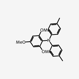 COc1cc(OC)c(N(c2ccc(C)cc2)c2ccc(C)cc2)c(OC)c1